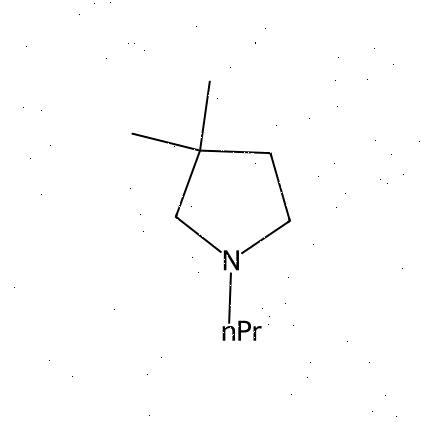 CCCN1CCC(C)(C)C1